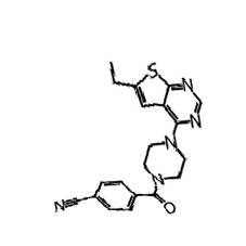 CCc1cc2c(N3CCN(C(=O)c4ccc(C#N)cc4)CC3)ncnc2s1